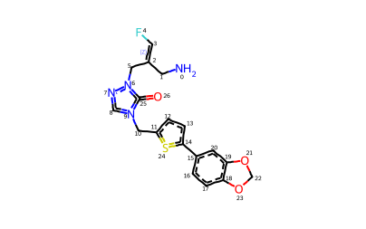 NC/C(=C/F)Cn1ncn(Cc2ccc(-c3ccc4c(c3)OCO4)s2)c1=O